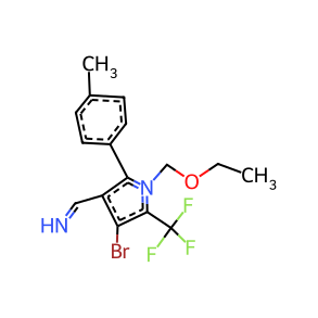 CCOCn1c(-c2ccc(C)cc2)c(C=N)c(Br)c1C(F)(F)F